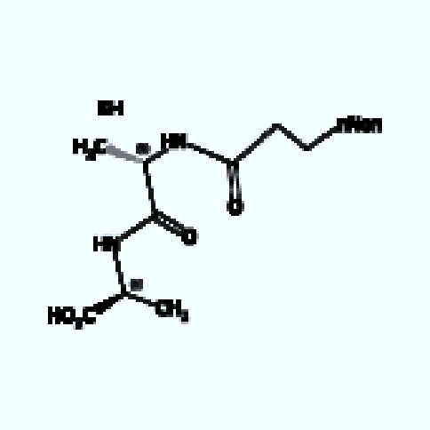 CCCCCCCCCCCC(=O)N[C@@H](C)C(=O)N[C@@H](C)C(=O)O.[KH]